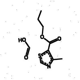 CCCOC(=O)c1scnc1C.O=CO